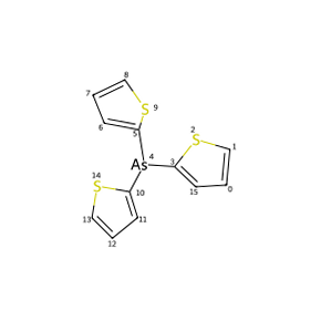 c1csc([As](c2cccs2)c2cccs2)c1